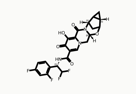 O=C(N[C@@H](c1ccc(F)cc1F)C(F)F)c1cn2c(c(O)c1=O)C(=O)N1[C@@H](C2)OC2C[C@H]1C1C[C@H]21